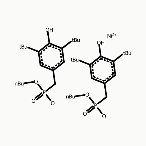 CCCCOP(=O)([O-])Cc1cc(C(C)(C)C)c(O)c(C(C)(C)C)c1.CCCCOP(=O)([O-])Cc1cc(C(C)(C)C)c(O)c(C(C)(C)C)c1.[Ni+2]